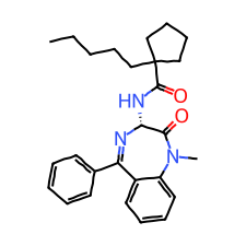 CCCCCC1(C(=O)N[C@H]2N=C(c3ccccc3)c3ccccc3N(C)C2=O)CCCC1